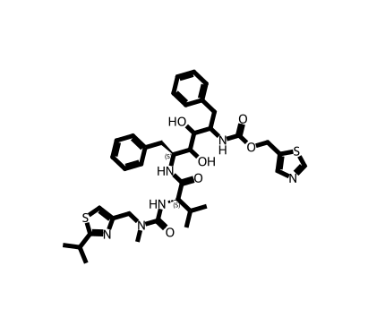 CC(C)c1nc(CN(C)C(=O)N[C@H](C(=O)N[C@@H](Cc2ccccc2)C(O)C(O)C(Cc2ccccc2)NC(=O)OCc2cncs2)C(C)C)cs1